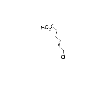 O=C(O)CC/C=C/CCl